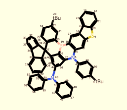 CC(C)(C)c1ccc(N2c3cc4sc5ccccc5c4cc3B3c4cc(C(C)(C)C)ccc4C4(c5ccccc5-c5ccccc54)c4cc(N(c5ccccc5)c5ccccc5)cc2c43)cc1